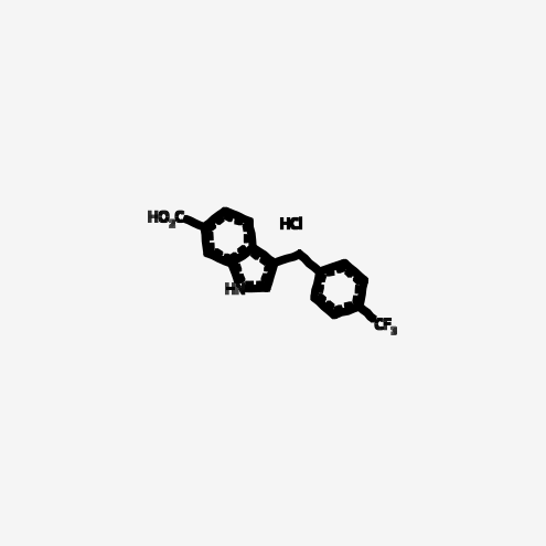 Cl.O=C(O)c1ccc2c([CH]c3ccc(C(F)(F)F)cc3)c[nH]c2c1